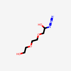 [N-]=[N+]=NC(O)COCCOCCO